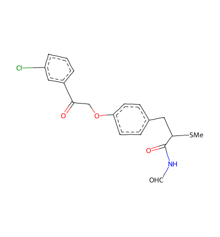 CSC(Cc1ccc(OCC(=O)c2cccc(Cl)c2)cc1)C(=O)NC=O